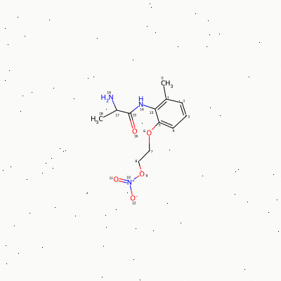 Cc1cccc(OCCO[N+](=O)[O-])c1NC(=O)C(C)N